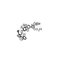 COc1cc(C(=O)O)cc(N2CCC(O)(c3cc(F)c(OCc4c(C5CC5)nnn4-c4c(Cl)cccc4Cl)cc3Cl)CC2)n1